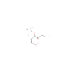 [CH2]CC1OCCCC1O[Si](C)(C)C